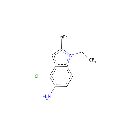 CCCc1cc2c(Cl)c(N)ccc2n1CC(F)(F)F